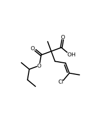 CCC(C)OC(=O)C(C)(CC=C(C)Cl)C(=O)O